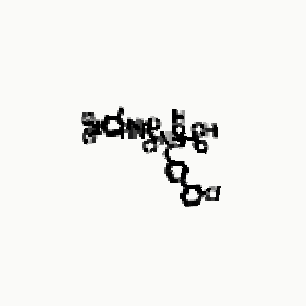 Cc1cc([N+](=O)[O-])ccc1NNC(=O)C(=O)N[C@H](Cc1ccc(-c2cccc(Cl)c2)cc1)C[C@@H](O)C(=O)O